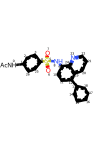 CC(=O)Nc1ccc(S(=O)(=O)Nc2ccc(-c3ccccc3)c3cccnc23)cc1